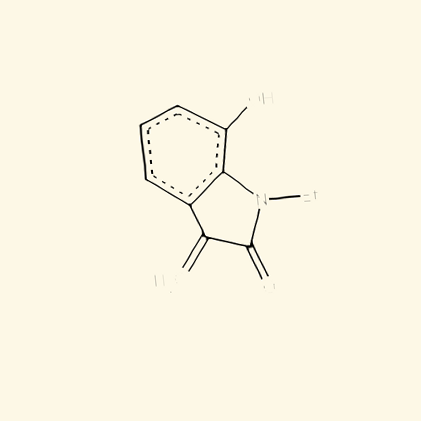 C=C1C(=O)N(CC)c2c(O)cccc21